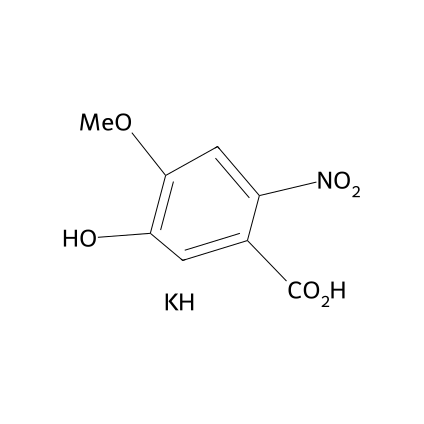 COc1cc([N+](=O)[O-])c(C(=O)O)cc1O.[KH]